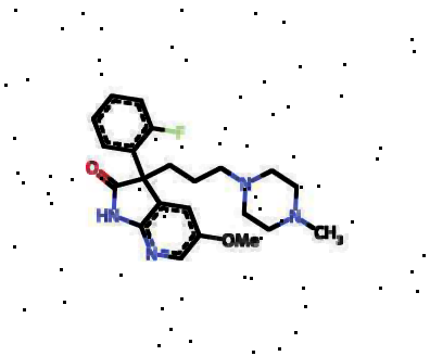 COc1cnc2c(c1)C(CCCN1CCN(C)CC1)(c1ccccc1F)C(=O)N2